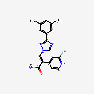 Cc1cc(C)cc(-c2ncn(/C=C(/C(N)=O)c3ccnc(F)c3)n2)c1